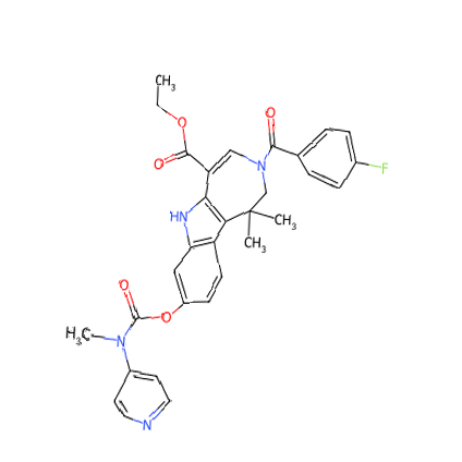 CCOC(=O)C1=CN(C(=O)c2ccc(F)cc2)CC(C)(C)c2c1[nH]c1cc(OC(=O)N(C)c3ccncc3)ccc21